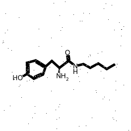 [CH2]CCCCNC(=O)[C@@H](N)Cc1ccc(O)cc1